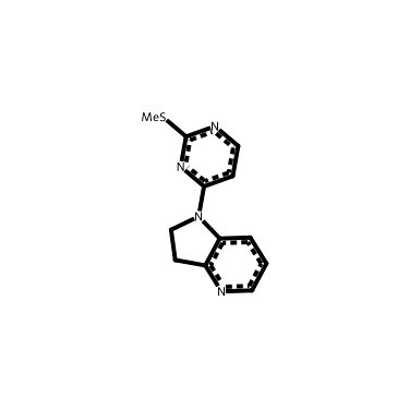 CSc1nccc(N2CCc3ncccc32)n1